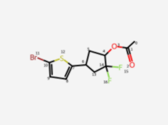 CC(=O)OC1CC(c2ccc(Br)s2)CC1(F)F